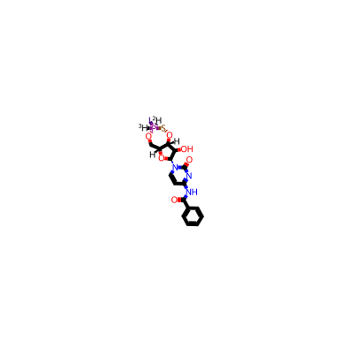 [2H]P1([3H])(I)OC[C@H]2O[C@@H](n3ccc(NC(=O)c4ccccc4)nc3=O)C(O)[C@H]2OS1